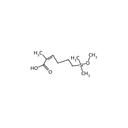 CO[Si](C)(C)[CH]CCC=C(C)C(=O)O